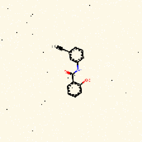 C#Cc1cccc(NC(=O)c2ccccc2O)c1